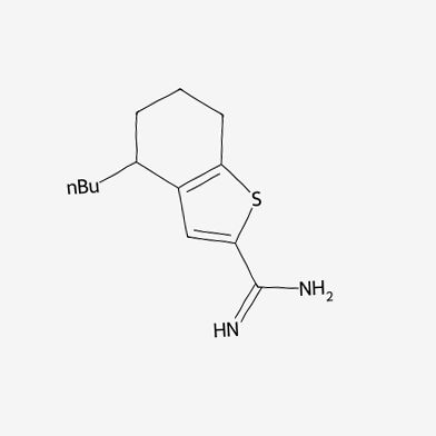 CCCCC1CCCc2sc(C(=N)N)cc21